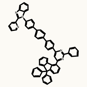 c1ccc(-c2nc(-c3ccc(-c4ccc(-c5ccc(-n6c(-c7ccccn7)nc7ccccc76)cc5)cc4)cc3)cc(-c3cccc4c3-c3ccccc3C4(c3ccccc3)c3ccccc3)n2)cc1